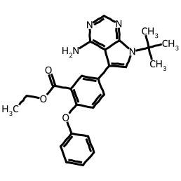 CCOC(=O)c1cc(-c2cn(C(C)(C)C)c3ncnc(N)c23)ccc1Oc1ccccc1